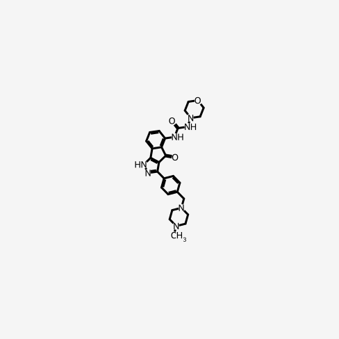 CN1CCN(Cc2ccc(-c3n[nH]c4c3C(=O)c3c(NC(=O)NN5CCOCC5)cccc3-4)cc2)CC1